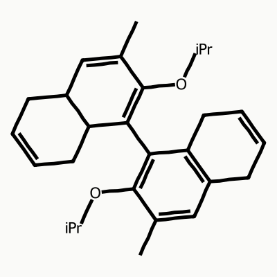 CC1=CC2CC=CCC2C(c2c3c(cc(C)c2OC(C)C)CC=CC3)=C1OC(C)C